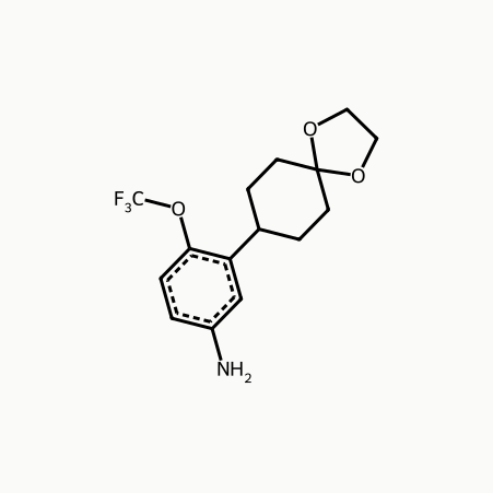 Nc1ccc(OC(F)(F)F)c(C2CCC3(CC2)OCCO3)c1